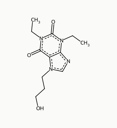 CCn1c(=O)c2c(ncn2CCCO)n(CC)c1=O